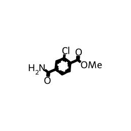 COC(=O)c1ccc(C(N)=O)cc1Cl